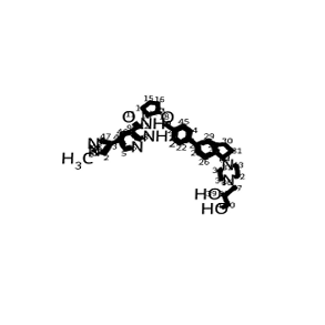 Cn1cc(-c2cnc(N)c(C(=O)N[C@H]3CCC[C@@H]3OCc3ccc(-c4ccc5c(c4)CC[C@H]5N4CCN(CC(O)CO)CC4)cc3)c2)cn1